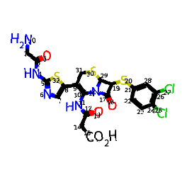 NCC(=O)Nc1ncc(C2=C(NC(=O)CC(=O)O)N3C(=O)C(Sc4ccc(Cl)c(Cl)c4)C3SC2)s1